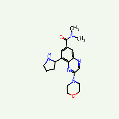 CN(C)C(=O)c1cc(C2CCCN2)c2nc(N3CCOCC3)cnc2c1